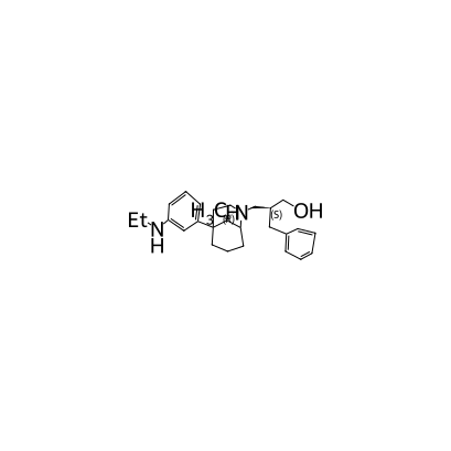 CCNc1cccc(C23CCCC([C@@H]2C)N(C[C@@H](CO)Cc2ccccc2)CC3)c1